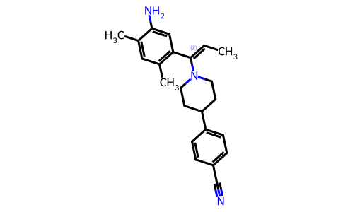 C/C=C(/c1cc(N)c(C)cc1C)N1CCC(c2ccc(C#N)cc2)CC1